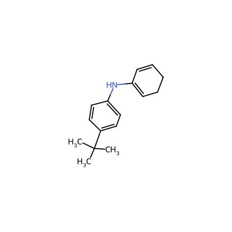 CC(C)(C)c1ccc(NC2=CCCC=C2)cc1